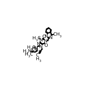 CC#CCn1c(N(C)CCC(C)(C)N)nc2c1c(=O)n(Cc1nc(C)c3ccccc3n1)c(=O)n2C